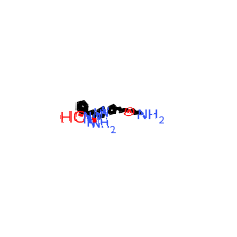 NCCCOCCCc1ccc(N2CCN(c3cc(-c4ccccc4O)nnc3N)CC2)cc1